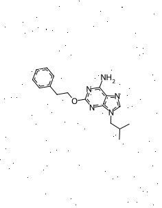 CC(C)Cn1cnc2c(N)nc(OCCc3ccccc3)nc21